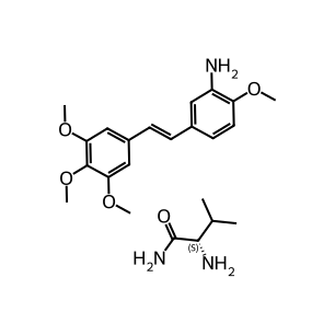 CC(C)[C@H](N)C(N)=O.COc1ccc(C=Cc2cc(OC)c(OC)c(OC)c2)cc1N